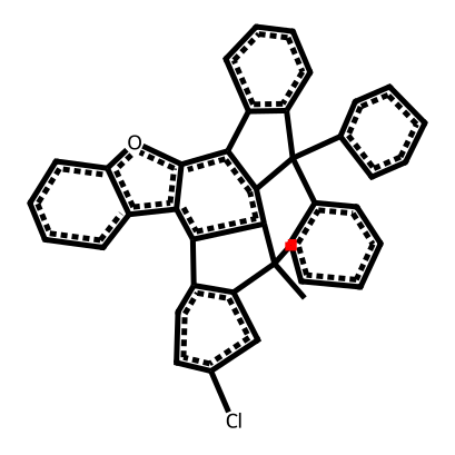 CC1(C)c2cc(Cl)ccc2-c2c1c1c(c3oc4ccccc4c23)-c2ccccc2C1(c1ccccc1)c1ccccc1